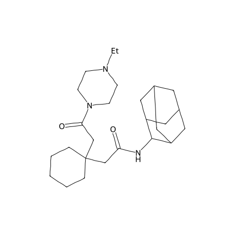 CCN1CCN(C(=O)CC2(CC(=O)NC3C4CC5CC(C4)CC3C5)CCCCC2)CC1